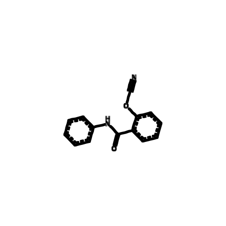 N#COc1ccccc1C(=O)Nc1ccccc1